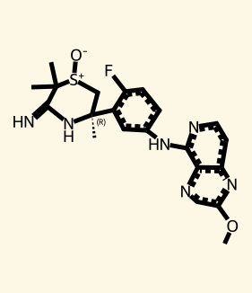 COc1cnc2c(Nc3ccc(F)c([C@]4(C)C[S+]([O-])C(C)(C)C(=N)N4)c3)nccc2n1